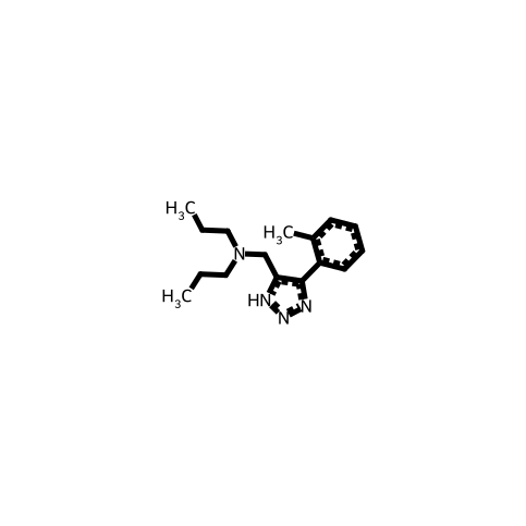 CCCN(CCC)Cc1[nH]nnc1-c1ccccc1C